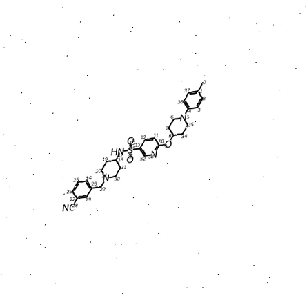 Cc1ccc(N2CCC(Oc3ccc(S(=O)(=O)NC4CCN(Cc5cccc(C#N)c5)CC4)cn3)CC2)cc1